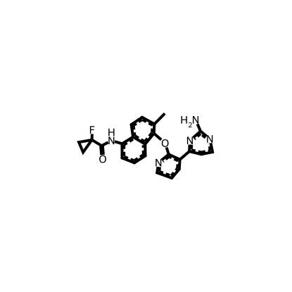 Cc1ccc2c(NC(=O)C3(F)CC3)cccc2c1Oc1ncccc1-c1ccnc(N)n1